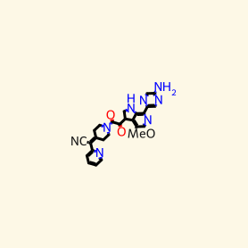 COc1cnc(-c2cnc(N)cn2)c2c1C(C(=O)C(=O)N1CCC(=C(C#N)c3ccccn3)CC1)CN2